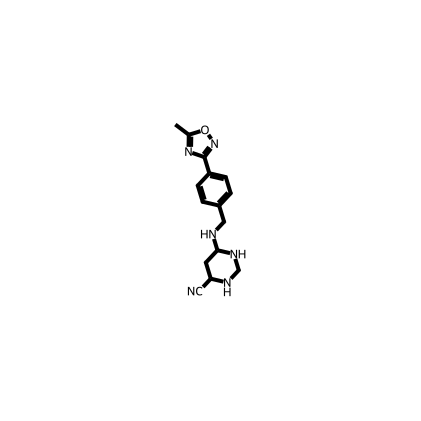 Cc1nc(-c2ccc(CNC3CC(C#N)NCN3)cc2)no1